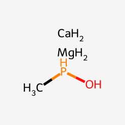 CPO.[CaH2].[MgH2]